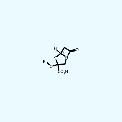 CCOC1(C(=O)O)CN2C(=O)C[C@H]2S1